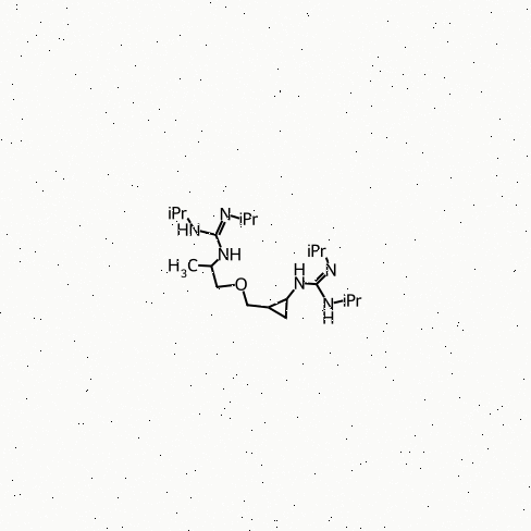 CC(C)/N=C(/NC(C)C)NC(C)COCC1CC1N/C(=N\C(C)C)NC(C)C